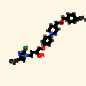 O=[N+]([O-])c1cn(CCC(O)COc2ccc(N3CCC(COCc4ccc(C(F)(F)F)cc4)CC3)cc2)c(Cl)n1